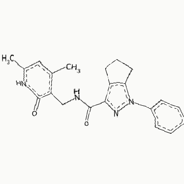 Cc1cc(C)c(CNC(=O)c2nn(-c3ccccc3)c3c2CCC3)c(=O)[nH]1